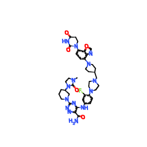 CN1CCN([C@@H]2CCCN(c3nnc(C(N)=O)c(Nc4ccc(N5CCN(CC6CCN(c7ccc(N8CCC(=O)NC8=O)c8ocnc78)CC6)CC5)c(F)c4)n3)C2)C1=O